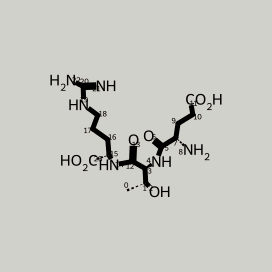 C[C@@H](O)[C@H](NC(=O)[C@@H](N)CCC(=O)O)C(=O)N[C@@H](CCCNC(=N)N)C(=O)O